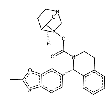 Cc1nc2ccc([C@H]3c4ccccc4CCN3C(=O)O[C@@H]3CN4CCC3CC4)cc2o1